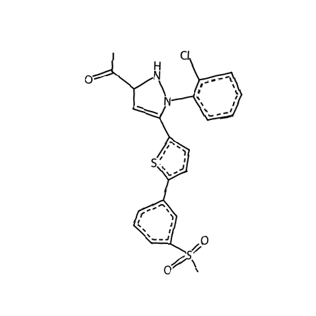 CC(=O)C1C=C(c2ccc(-c3cccc(S(C)(=O)=O)c3)s2)N(c2ccccc2Cl)N1